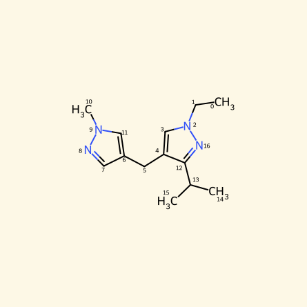 CCn1cc(Cc2cnn(C)c2)c(C(C)C)n1